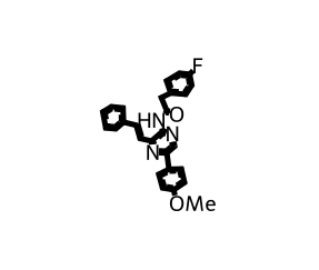 COc1ccc(-c2cnc(NC(=O)Cc3ccc(F)cc3)c(/C=C/c3ccccc3)n2)cc1